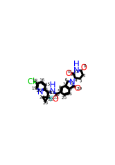 O=C1CCC(N2Cc3cc(C(=O)N[C@H](c4ccc(Cl)cn4)C4(F)CC4)ccc3C2=O)C(=O)N1